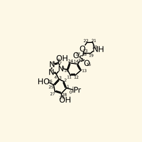 CC(C)c1cc(-c2nnc(O)n2-c2cccc(S(=O)(=O)C3CNCCO3)c2)c(O)cc1O